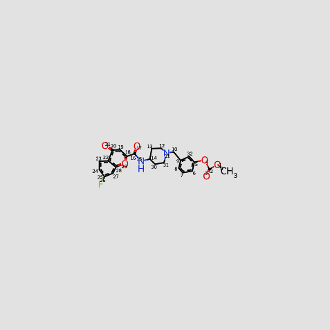 COC(=O)Oc1cccc(CN2CCC(NC(=O)c3cc(=O)c4ccc(F)cc4o3)CC2)c1